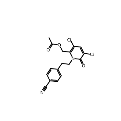 CC(=O)OCc1c(Cl)cc(Cl)c(=O)n1CCc1ccc(C#N)cc1